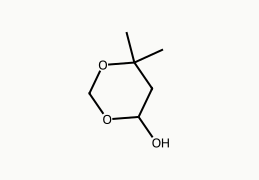 CC1(C)CC(O)OCO1